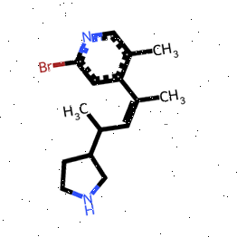 C/C(=C/C(C)C1CCNC1)c1cc(Br)ncc1C